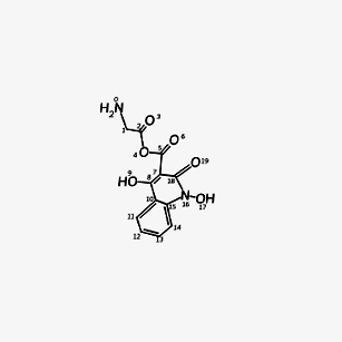 NCC(=O)OC(=O)c1c(O)c2ccccc2n(O)c1=O